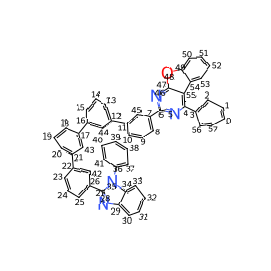 c1ccc(-c2nc(-c3cccc(-c4cccc(-c5cccc(-c6cccc(-c7nc8ccccc8n7-c7ccccc7)c6)c5)c4)c3)nc3oc4ccccc4c23)cc1